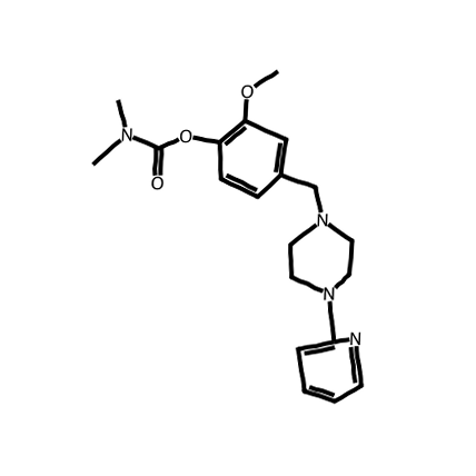 COc1cc(CN2CCN(c3ccccn3)CC2)ccc1OC(=O)N(C)C